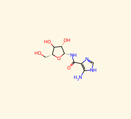 Nc1[nH]cnc1C(=O)N[C@@H]1O[C@H](CO)C(O)[C@@H]1O